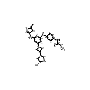 CC1=NN=C(Nc2cc(N3CC(N4CC[C@H](F)C4)C3)nc(Sc3ccc(NC(=O)CC(F)(F)F)cc3)n2)C1